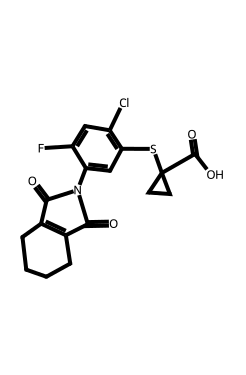 O=C1C2=C(CCCC2)C(=O)N1c1cc(SC2(C(=O)O)CC2)c(Cl)cc1F